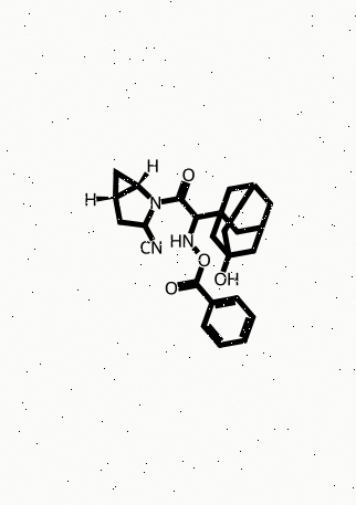 N#CC1C[C@@H]2C[C@@H]2N1C(=O)C(NOC(=O)c1ccccc1)C12CC3CC(CC(O)(C3)C1)C2